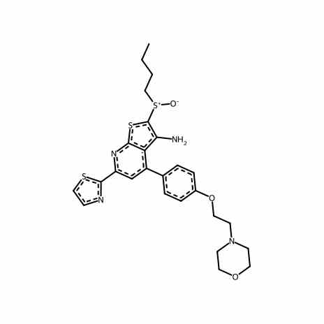 CCCC[S+]([O-])c1sc2nc(-c3nccs3)cc(-c3ccc(OCCN4CCOCC4)cc3)c2c1N